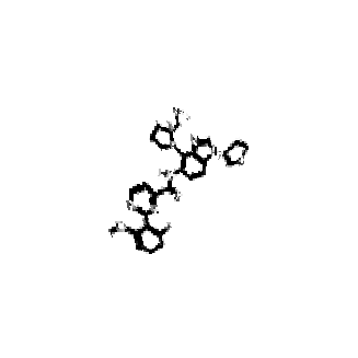 COc1cccc(F)c1-c1nccc(C(=O)Nc2ccc3c(ncn3[C@@H]3CCOC3)c2N2CCC[C@H]2CN)n1